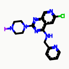 Clc1cc2c(NCc3ccccn3)nc(N3CCN(I)CC3)nc2cn1